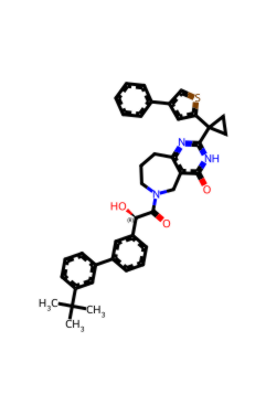 CC(C)(C)c1cccc(-c2cccc([C@@H](O)C(=O)N3CCCc4nc(C5(c6cc(-c7ccccc7)cs6)CC5)[nH]c(=O)c4C3)c2)c1